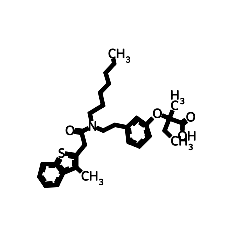 CCCCCCCN(CCc1cccc(OC(C)(CC)C(=O)O)c1)C(=O)Cc1sc2ccccc2c1C